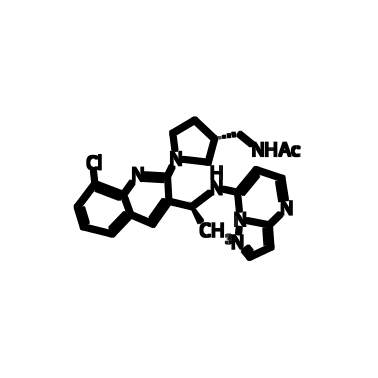 CC(=O)NC[C@H]1CCN(c2nc3c(Cl)cccc3cc2[C@H](C)Nc2ccnc3ccnn23)C1